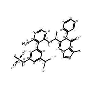 Cc1ccn2nc([C@H](C)Nc3ncnc(N)c3-c3cc(NS(C)(=O)=O)cc(C(F)F)c3)n(-c3ccccc3)c(=O)c12